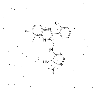 Fc1ccc2nc(-c3ccccc3Cl)c(CNc3ncnc4c3NCN4)nc2c1F